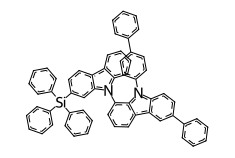 c1ccc(-c2ccc(-n3c4ccc(-c5ccccc5)cc4c4cccc(-n5c6ccccc6c6ccc([Si](c7ccccc7)(c7ccccc7)c7ccccc7)cc65)c43)cc2)cc1